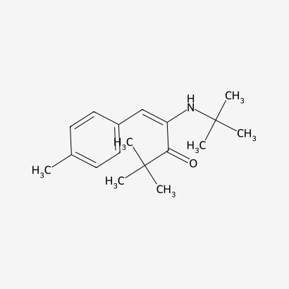 Cc1ccc(/C=C(/NC(C)(C)C)C(=O)C(C)(C)C)cc1